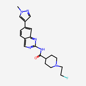 Cn1cc(-c2ccc3cnc(NC(=O)C4CCN(CCF)CC4)nc3c2)cn1